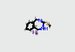 CSC1=NCc2ccccc2CN1.I